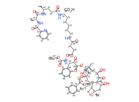 CC(=O)C[C@@]12CO[C@@H]1C[C@H](O)[C@@]1(C)C(=O)[C@H](O)C3=C(C)[C@@H](OC(=O)[C@H](OC(=O)CCC(=O)NCCCCC[C@H](NC(=O)CC[C@H](C)NC(=O)[C@H](C)NC(=O)c4ccccn4)C(=O)O)[C@@H](NC(=O)OC(C)(C)C)c4ccccc4)C[C@@](O)([C@@H](OC(=O)c4ccccc4)[C@H]21)C3(C)C